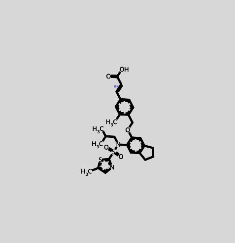 Cc1cnc(S(=O)(=O)N(CC(C)C)c2cc3c(cc2OCc2ccc(/C=C/C(=O)O)cc2C)CCC3)s1